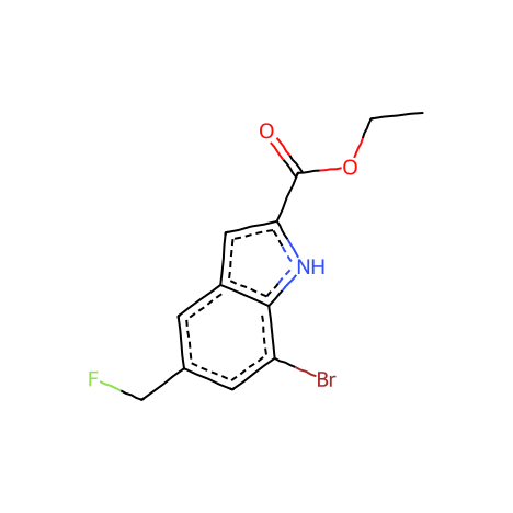 CCOC(=O)c1cc2cc(CF)cc(Br)c2[nH]1